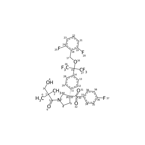 CC(C)(CO)C(=O)N1CC[C@](c2ccc(C(OCc3c(F)cccc3F)(C(F)(F)F)C(F)(F)F)cc2)(S(=O)(=O)c2ccc(F)cc2)C1